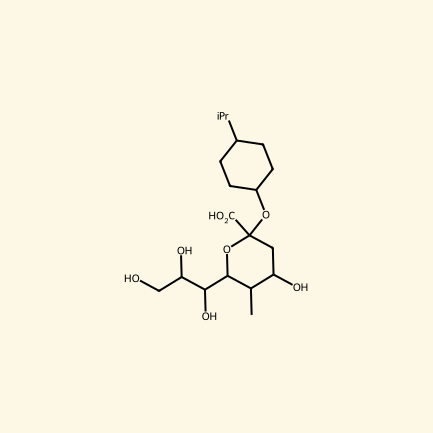 CC(C)C1CCC(OC2(C(=O)O)CC(O)C(C)C(C(O)C(O)CO)O2)CC1